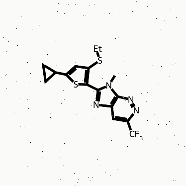 CCSc1cc(C2CC2)sc1-c1nc2cc(C(F)(F)F)nnc2n1C